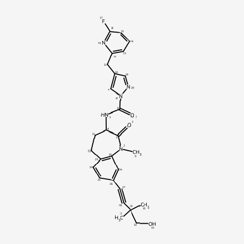 CN1C(=O)C(NC(=O)n2cc(Cc3cccc(F)n3)cn2)CCc2ccc(C#CC(C)(C)CO)cc21